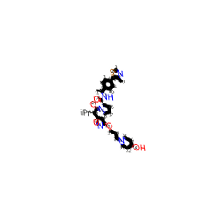 Cc1ncsc1-c1ccc([C@H](C)NC(=O)[C@@H]2CCCN2C(=O)[C@H](c2cc(OCCCN3CCC(O)CC3)no2)C(C)C)cc1